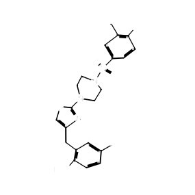 Cc1ccc(C)c(Cc2csc(N3CCN(S(=O)(=O)c4ccc(Cl)c(Cl)c4)CC3)n2)c1